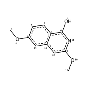 COc1ccc2c(O)nc(OC)cc2c1